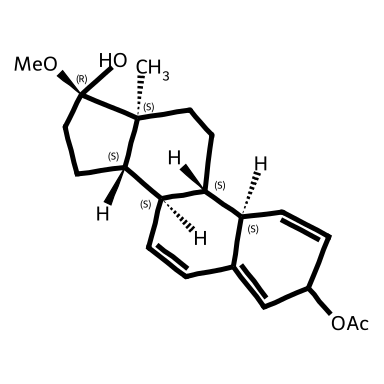 CO[C@]1(O)CC[C@H]2[C@@H]3C=CC4=CC(OC(C)=O)C=C[C@@H]4[C@H]3CC[C@@]21C